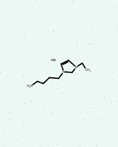 Br.CCN1C=CN(CCCCN)C1